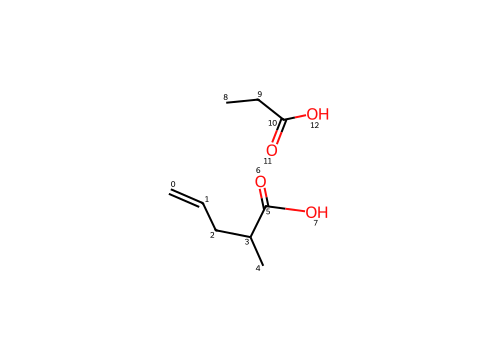 C=CCC(C)C(=O)O.CCC(=O)O